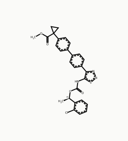 COC(=O)C1(c2ccc(-c3ccc(-c4nnsc4NC(=O)O[C@H](C)c4ccccc4Cl)cc3)cc2)CC1